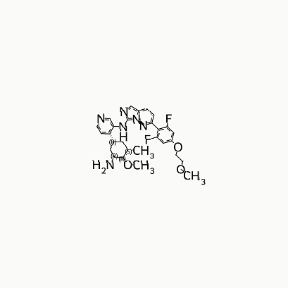 COCCOc1cc(F)c(-c2ccc3cnc(Nc4cnccc4[C@H]4C[C@@H](N)[C@H](OC)[C@@H](C)C4)n3n2)c(F)c1